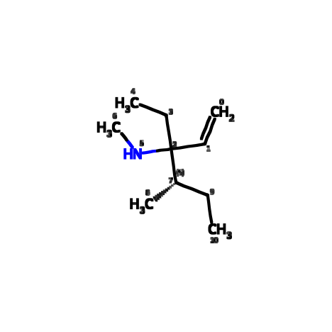 C=CC(CC)(NC)[C@@H](C)CC